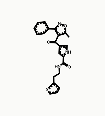 Cc1onc(-c2ccccc2)c1C(=O)c1c[nH]c(C(=O)NCCc2cccs2)c1